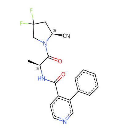 C[C@H](NC(=O)c1ccncc1-c1ccccc1)C(=O)N1CC(F)(F)C[C@H]1C#N